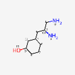 NC[C@@H](N)CC1CCCC(O)C1